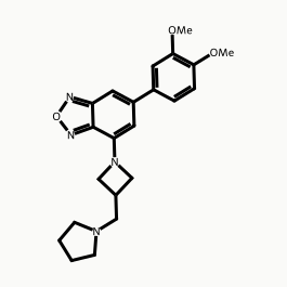 COc1ccc(-c2cc(N3CC(CN4CCCC4)C3)c3nonc3c2)cc1OC